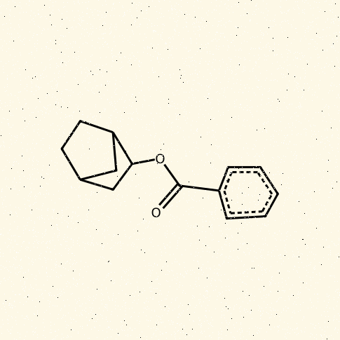 O=C(OC1CC2CCC1C2)c1ccccc1